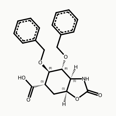 O=C1N[C@@H]2[C@@H](OCc3ccccc3)[C@H](OCc3ccccc3)[C@@H](C(=O)O)C[C@@H]2O1